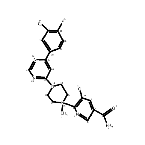 C[N+]1(c2ncc(C(N)=O)cc2Cl)CCN(c2cc(-c3ccc(F)c(Cl)c3)ncn2)CC1